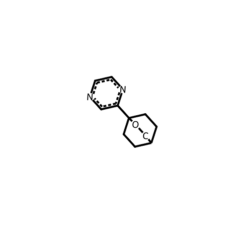 c1cnc(C23CCC(CC2)CO3)cn1